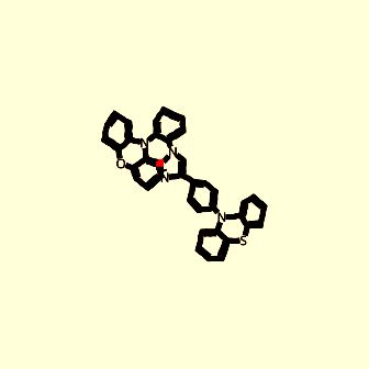 c1ccc2c(c1)Oc1ccccc1N2c1ccccc1-n1cc(-c2ccc(N3c4ccccc4Sc4ccccc43)cc2)nn1